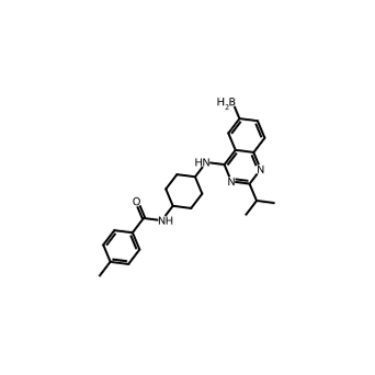 Bc1ccc2nc(C(C)C)nc(NC3CCC(NC(=O)c4ccc(C)cc4)CC3)c2c1